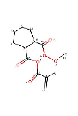 C=C(C)C(=O)OC(=O)C1CCCCC1C(=O)OOCC